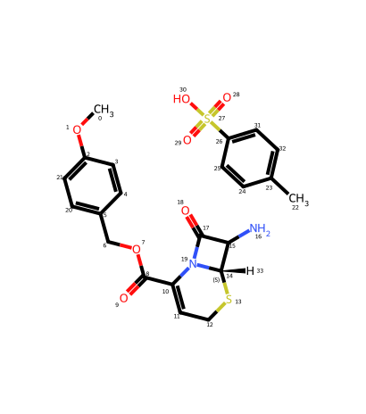 COc1ccc(COC(=O)C2=CCS[C@H]3C(N)C(=O)N23)cc1.Cc1ccc(S(=O)(=O)O)cc1